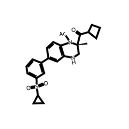 CC(=O)N1c2ccc(-c3cccc(S(=O)(=O)C4CC4)c3)cc2NC[C@@]1(C)C(=O)C1CCC1